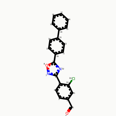 O=Cc1ccc(-c2noc(-c3ccc(-c4ccccc4)cc3)n2)c(Cl)c1